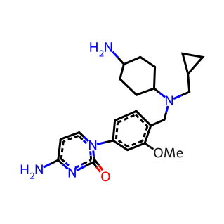 COc1cc(-n2ccc(N)nc2=O)ccc1CN(CC1CC1)C1CCC(N)CC1